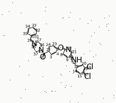 O=C(c1ccc(Oc2ccc(NCc3ccc(Cl)c(Cl)c3)cn2)cc1)N1CCN(Cc2ccccc2)CC1